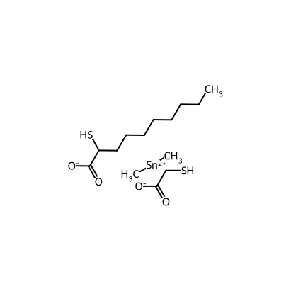 CCCCCCCCC(S)C(=O)[O-].O=C([O-])CS.[CH3][Sn+2][CH3]